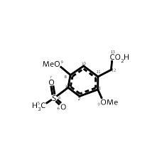 COc1cc(S(C)(=O)=O)c(OC)cc1CC(=O)O